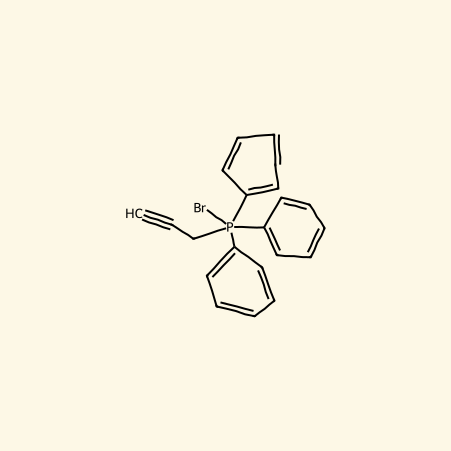 C#CCP(Br)(c1ccccc1)(c1ccccc1)c1ccccc1